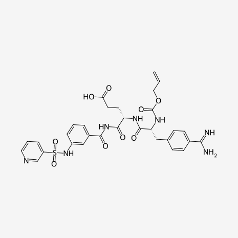 C=CCOC(=O)N[C@H](Cc1ccc(C(=N)N)cc1)C(=O)N[C@@H](CCC(=O)O)C(=O)NC(=O)c1cccc(NS(=O)(=O)c2cccnc2)c1